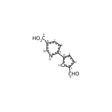 O=Cc1ccc(-c2ccc(C(=O)O)cn2)o1